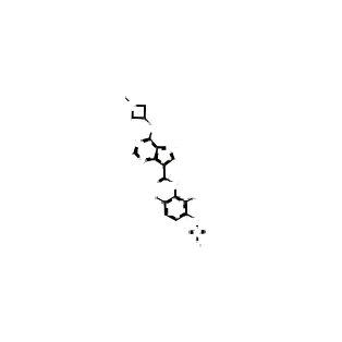 CCCS(=O)(=O)Nc1ccc(Cl)c(NC(=O)c2csc3c(NC4CN(C)C4)ncnc23)c1Cl